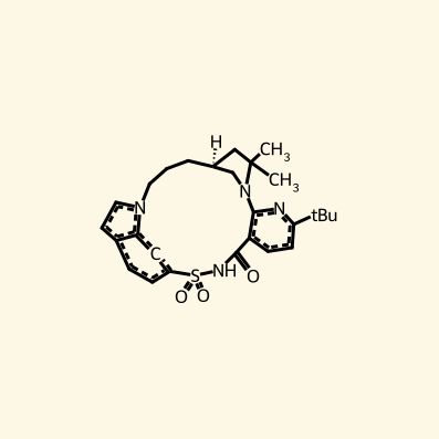 CC(C)(C)c1ccc2c(n1)N1C[C@@H](CCCn3ccc4ccc(cc43)S(=O)(=O)NC2=O)CC1(C)C